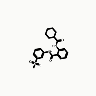 CS(=O)(=O)c1cccc(NC(=O)c2ccccc2NC(=O)C2CCCCC2)c1